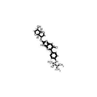 CN(C)S(C)(=O)=Nc1ccc(-c2nc3[nH]c(O[C@@H]4CO[C@H]5[C@@H]4OC[C@H]5O)nc3cc2Cl)cc1